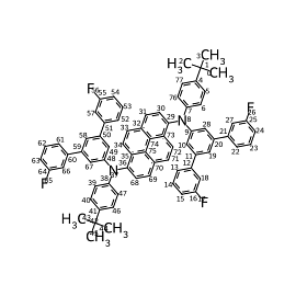 CC(C)(C)c1ccc(N(c2cc(-c3cccc(F)c3)cc(-c3cccc(F)c3)c2)c2ccc3ccc4c(N(c5ccc(C(C)(C)C)cc5)c5cc(-c6cccc(F)c6)cc(-c6cccc(F)c6)c5)ccc5ccc2c3c54)cc1